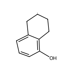 Oc1cccc2c1CC[CH]C2